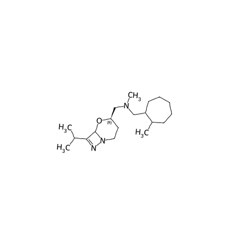 CC(C)C1=NN2CC[C@H](CN(C)CC3CCCCCC3C)OC12